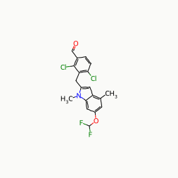 Cc1cc(OC(F)F)cc2c1cc(Cc1c(Cl)ccc(C=O)c1Cl)n2C